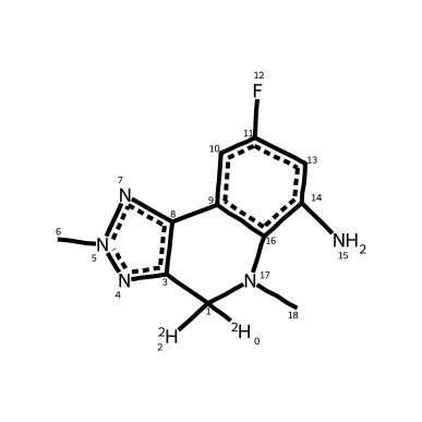 [2H]C1([2H])c2nn(C)nc2-c2cc(F)cc(N)c2N1C